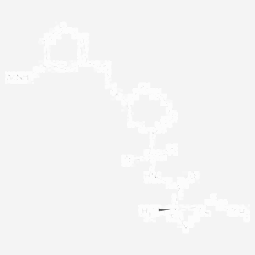 C=C[C@@H]1C[C@]1(C)C(=O)NS(=O)(=O)c1cccc(COc2cccc(NC(C)=O)c2)c1